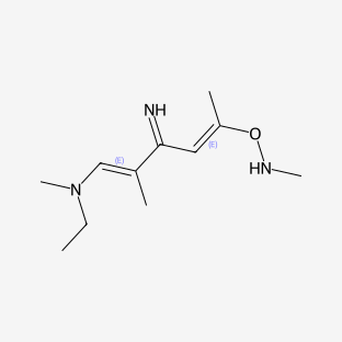 CCN(C)/C=C(\C)C(=N)/C=C(\C)ONC